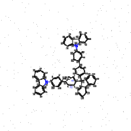 C/C=C(\C=C/Cc1ccc(-n2c3ccccc3c3ccccc32)cc1)C1(c2ccc(-c3ccc(-n4c5ccccc5c5ccccc54)cc3)cc2)c2ccccc2-c2ccccc21